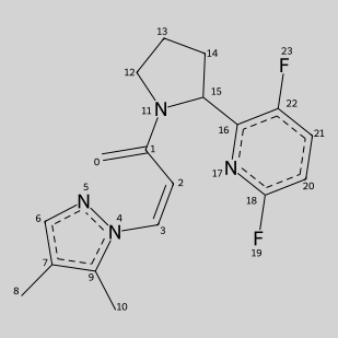 C=C(/C=C\n1ncc(C)c1C)N1CCCC1c1nc(F)ccc1F